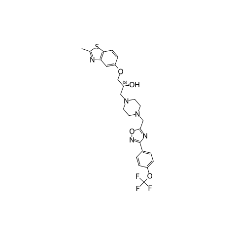 Cc1nc2cc(OC[C@@H](O)CN3CCN(Cc4nc(-c5ccc(OC(F)(F)F)cc5)no4)CC3)ccc2s1